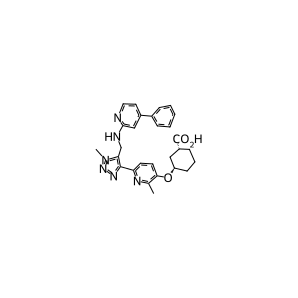 Cc1nc(-c2nnn(C)c2CNc2cc(-c3ccccc3)ccn2)ccc1O[C@@H]1CCC[C@@H](C(=O)O)C1